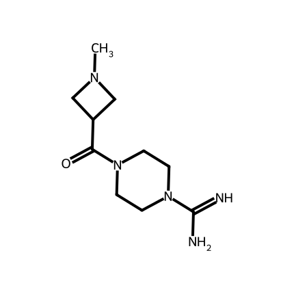 CN1CC(C(=O)N2CCN(C(=N)N)CC2)C1